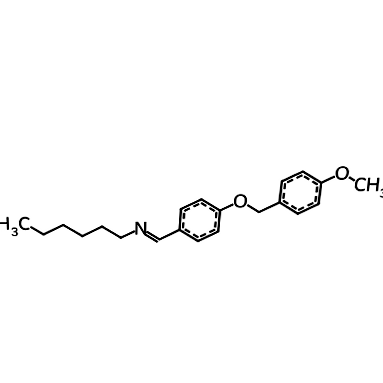 CCCCCCN=Cc1ccc(OCc2ccc(OC)cc2)cc1